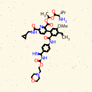 C=Cc1cc(C(=O)Nc2ccc(C(=N)NC(=O)OCCN3CCOCC3)cc2)c(-c2ccc(C(=O)NCC3CC3)nc2C(=O)OC(C)OC(=O)[C@@H](N)C(C)C)cc1OC